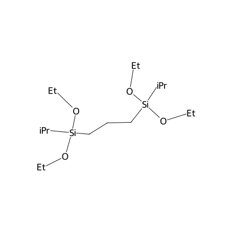 CCO[Si](CCC[Si](OCC)(OCC)C(C)C)(OCC)C(C)C